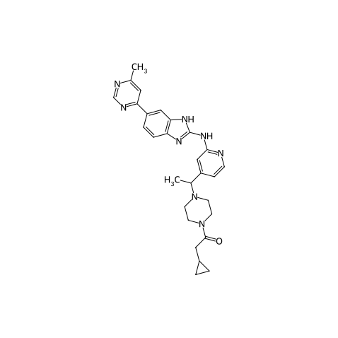 Cc1cc(-c2ccc3nc(Nc4cc(C(C)N5CCN(C(=O)CC6CC6)CC5)ccn4)[nH]c3c2)ncn1